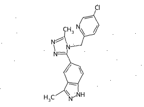 Cc1n[nH]c2ccc(-c3nnc(C)n3Cc3ccc(Cl)cn3)cc12